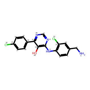 NCc1ccc(Nc2ncnc(-c3ccc(Cl)cc3)c2O)c(Cl)c1